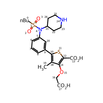 CCCCS(=O)(=O)N(c1cccc(-c2sc(C(=O)O)c(OCC(=O)O)c2C)c1)C1CCNCC1